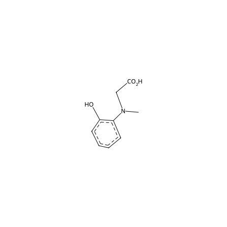 CN(CC(=O)O)c1ccccc1O